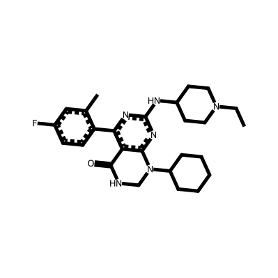 CCN1CCC(Nc2nc(-c3ccc(F)cc3C)c3c(n2)N(C2CCCCC2)CNC3=O)CC1